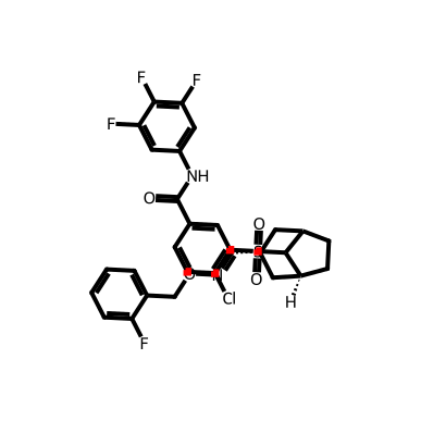 O=C(Nc1cc(F)c(F)c(F)c1)c1ccc(Cl)c(S(=O)(=O)C2C3CC[C@H]2C[C@H](/C=N/OCc2ccccc2F)C3)c1